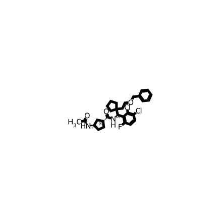 CC(=O)N[C@@H]1CC[C@@H](C(=O)N[C@H](c2c(F)ccc(Cl)c2Cl)C2(CCOCc3ccccc3)CCCC2)C1